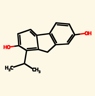 CC(C)c1c(O)ccc2c1Cc1cc(O)ccc1-2